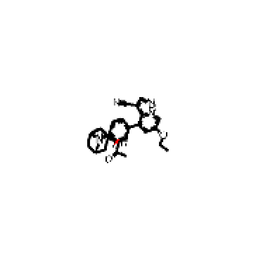 CCOc1cc(-c2ccc(N3C4CC3CC(C)(NC(C)=O)C4)nc2)c2c(C#N)cnn2c1